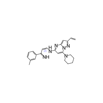 C=Cc1cc2nc(N/C=C\C(=N)c3cccc(C)c3)cc(N3CCCCC3)n2n1